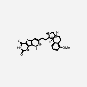 COc1cccc2c1CC[C@H]1CNC(CCC3=Cc4sc5c(=O)[nH]c(=O)[nH]c5c4NN3)[C@@H]21